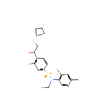 Cc1ccc(N(CC(C)C)S(=O)(=O)c2ccc(C(O)CN[C@H]3C[C@H](O)C3)c(Cl)c2)c(C)c1